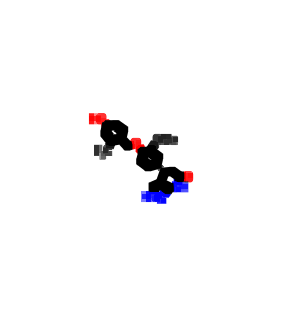 COc1cc([C@@H]2CC(=O)Nc3n[nH]cc32)ccc1OCc1ccc(O)cc1C(F)(F)F